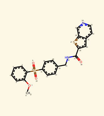 COc1ccccc1S(=O)(=O)c1ccc(CNC(=O)c2cc3ccncc3s2)cc1